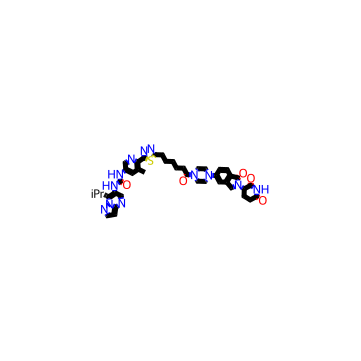 Cc1cc(NC(=O)Nc2cnc3ccnn3c2C(C)C)cnc1-c1nnc(CCCCCC(=O)N2CCN(c3ccc4c(c3)CN(C3CCC(=O)NC3=O)C4=O)CC2)s1